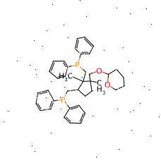 CC1(COC2CCCCO2)CCC(CP(c2ccccc2)c2ccccc2)C1(C)CP(c1ccccc1)c1ccccc1